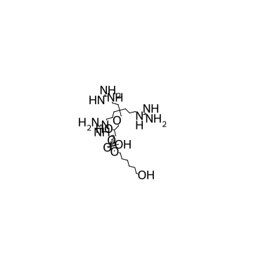 N=C(N)NCCCC(CCCN=C(N)N)(CCNC(=N)N)COCC(O)COP(=O)(O)OCCCCCCO